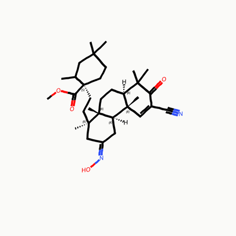 COC(=O)[C@]1(CC[C@]2(C)CC(=NO)C[C@@H]3[C@@]4(C)C=C(C#N)C(=O)C(C)(C)[C@@H]4CC[C@]32C)CCC(C)(C)CC1C